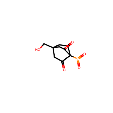 O=C1CC2(CO)CC(=O)C1(P(=O)=O)C(=O)C2